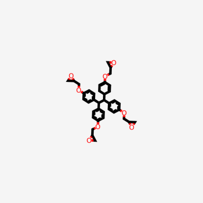 C1=CC(C(c2ccc(OCC3CO3)cc2)C(c2ccc(OCC3CO3)cc2)c2ccc(OCC3CO3)cc2)CC=C1OCC1CO1